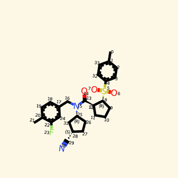 Cc1ccc(S(=O)(=O)[C@@H]2CCC[C@H]2C(=O)N(Cc2ccc(C)c(F)c2)[C@@H]2CC[C@H](C#N)C2)cc1